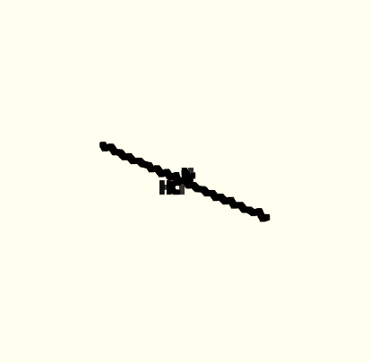 CCCCCCCCCCCCCCCCCCC(CCCCCCCCCCCCCCCCCC)N(C)C.Cl